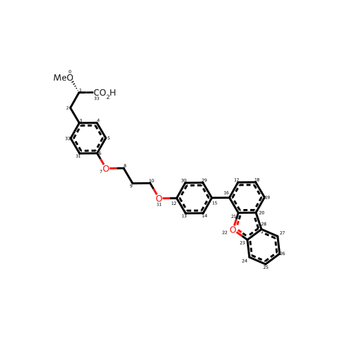 CO[C@@H](Cc1ccc(OCCCOc2ccc(-c3cccc4c3oc3ccccc34)cc2)cc1)C(=O)O